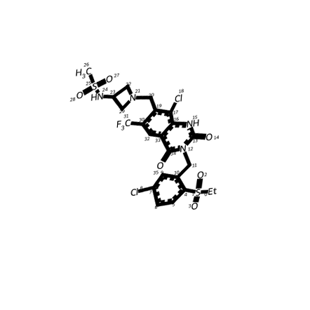 CCS(=O)(=O)c1ccc(Cl)cc1Cn1c(=O)[nH]c2c(Cl)c(CN3CC(NS(C)(=O)=O)C3)c(C(F)(F)F)cc2c1=O